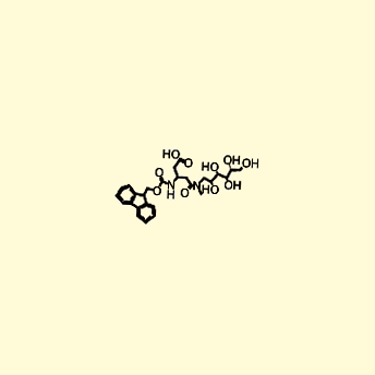 CN(C[C@H](O)[C@@H](O)[C@H](O)[C@H](O)CO)C(=O)CC(CC(=O)O)NC(=O)OCC1c2ccccc2-c2ccccc21